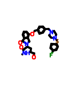 CNC(=O)C(CCC=O)N1Cc2c(OCc3ccc(CN4CCN(Sc5ccc(F)cc5)CC4)cc3)cccc2C1=O